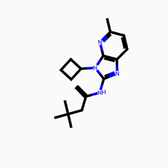 C=C(CC(C)(C)C)Nc1nc2ccc(C)nc2n1C1CCC1